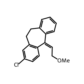 COCC=C1c2ccccc2CCc2cc(Cl)ccc21